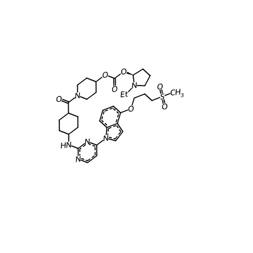 CCN1CCC[C@@H]1OC(=O)OC1CCN(C(=O)C2CCC(Nc3nccc(-n4ccc5c(OCCCS(C)(=O)=O)cccc54)n3)CC2)CC1